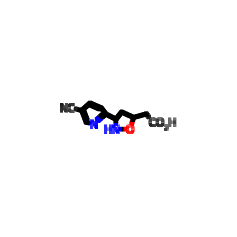 N#Cc1ccc(C2CC(CC(=O)O)ON2)nc1